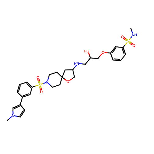 CNS(=O)(=O)c1cccc(OCC(O)CNC2COC3(CCN(S(=O)(=O)c4cccc(-c5ccn(C)c5)c4)CC3)C2)c1